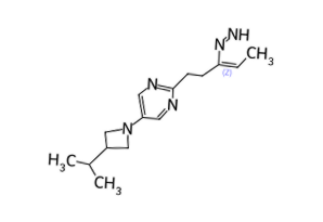 C/C=C(/CCc1ncc(N2CC(C(C)C)C2)cn1)N=N